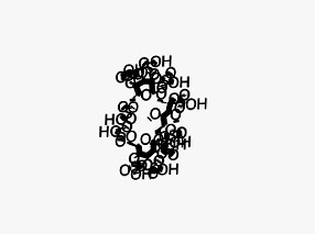 CO[C@@H]([C@H](OC)[C@H](CO[C@@H]1O[C@H](COS(=O)(=O)O)[C@@H](OS(=O)(=O)O)[C@@H](OS(=O)(=O)O)[C@@H]1OS(=O)(=O)O)OS(=O)(=O)O)[C@H](CO[C@@H]1O[C@H](COS(=O)(=O)O)[C@@H](OS(=O)(=O)O)[C@@H](OS(=O)(=O)O)[C@@H]1OS(=O)(=O)O)OS(=O)(=O)O